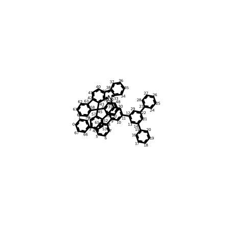 c1ccc(-c2cccc(-c3cc(-c4cc(-c5ccccc5)cc(-c5ccccc5)c4)cc(-n4c5ccccc5c5ccc6c(c54)C4(c5ccccc5-c5ccccc54)c4ccccc4-6)c3)c2)cc1